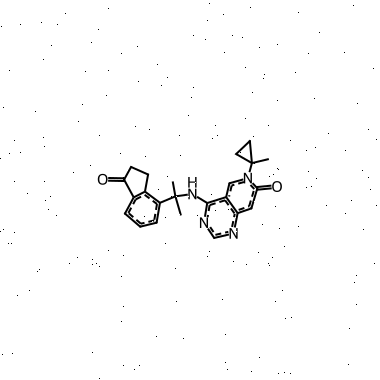 CC(C)(Nc1ncnc2cc(=O)n(C3(C)CC3)cc12)c1cccc2c1CCC2=O